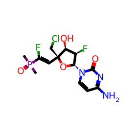 CP(C)(=O)/C(F)=C/[C@@]1(CCl)O[C@@H](n2ccc(N)nc2=O)[C@H](F)[C@@H]1O